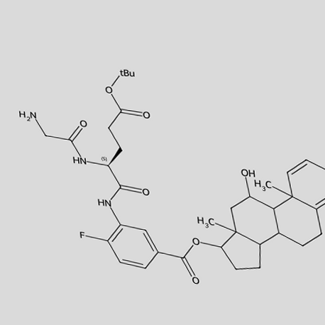 CC(C)(C)OC(=O)CC[C@H](NC(=O)CN)C(=O)Nc1cc(C(=O)OC2CCC3C4CCC5=CC(=O)C=CC5(C)C4C(O)CC23C)ccc1F